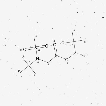 C[C@H](OC(=O)CN(C(C)(C)C)S(C)(=O)=O)C(C)(C)C